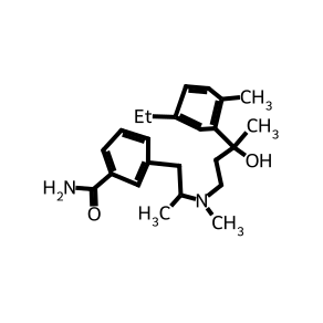 CCc1ccc(C)c(C(C)(O)CCN(C)C(C)Cc2cccc(C(N)=O)c2)c1